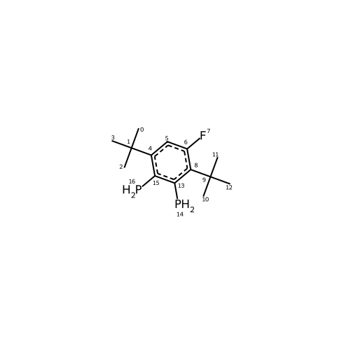 CC(C)(C)c1cc(F)c(C(C)(C)C)c(P)c1P